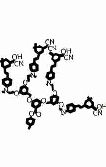 C=C1CC(/C=C/c2ccc(N(C)CCOc3cc(COc4cc(OCc5cc(OCCN(C)c6ccc(/C=C/C7=CC(=C(C#N)C#N)CC(C)(C)C7)cc6)cc(OCCN(C)c6ccc(/C=C/C7=CC(=C(/O)C#N)/CC(C)(C)C7)cc6)c5)cc(C(=O)Oc5ccc(C)cc5)c4)cc(OCN(C)c4ccc(/C=C/C5=CC(=C(/O)C#N)/CC(C)(C)C5)cc4)c3)cc2)=CC(=C(/O)C#N)/C1